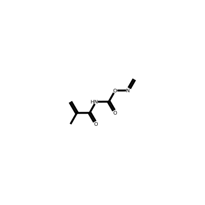 C=NOC(=O)NC(=O)C(=C)C